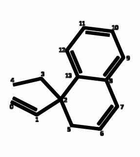 C=CC1(CC)CC=Cc2ccccc21